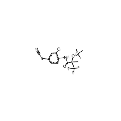 CC(O[Si](C)(C)C)(C(=O)Nc1ccc(SC#N)cc1Cl)C(F)(F)F